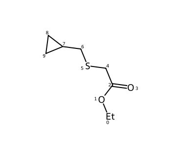 CCOC(=O)CSCC1CC1